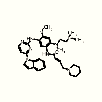 COc1cc(N(C)CCN(C)C)c(NC(=O)/C=C/CN2CCCCC2)cc1Nc1nccc(-n2ccc3ccccc32)n1